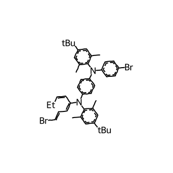 CC\C=C/C(=C\C=C\Br)N(c1ccc(N(c2ccc(Br)cc2)c2c(C)cc(C(C)(C)C)cc2C)cc1)c1c(C)cc(C(C)(C)C)cc1C